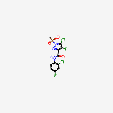 CS(=O)(=O)n1nc(C(=O)Nc2ccc(F)cc2Cl)c(F)c1Cl